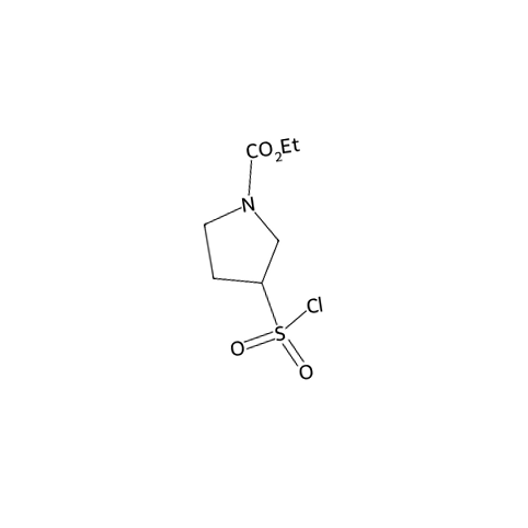 CCOC(=O)N1CCC(S(=O)(=O)Cl)C1